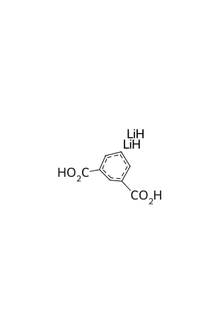 O=C(O)c1cccc(C(=O)O)c1.[LiH].[LiH]